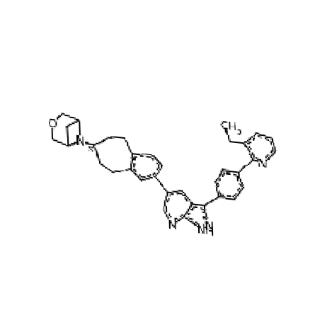 CCc1cccnc1-c1ccc(-c2n[nH]c3ncc(-c4ccc5c(c4)CC[C@@H](N4C6COCC4C6)CC5)cc23)cc1